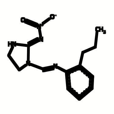 CCCc1ccccc1N=CN1CCNC1=N[N+](=O)[O-]